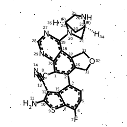 Cc1c(-c2ccc(F)c3sc(N)c(C#N)c23)c2c(c3c(N4C[C@H]5C[C@@H]4CN5)ncnc13)COC2